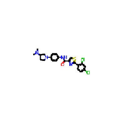 CN(C)C1CCN(c2ccc(NC(=O)c3csc(-c4ccc(Cl)cc4Cl)n3)cc2)C1